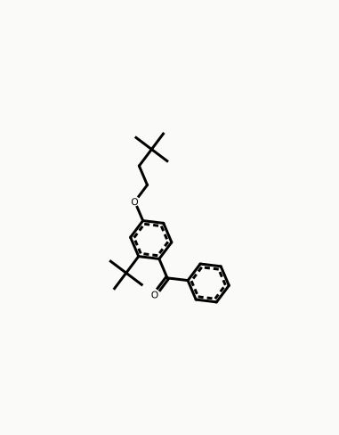 CC(C)(C)CCOc1ccc(C(=O)c2ccccc2)c(C(C)(C)C)c1